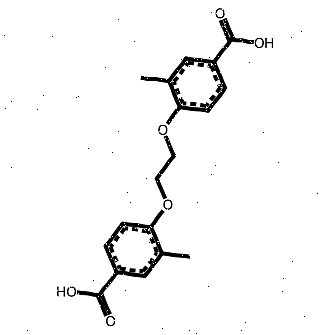 Cc1cc(C(=O)O)ccc1OCCOc1ccc(C(=O)O)cc1C